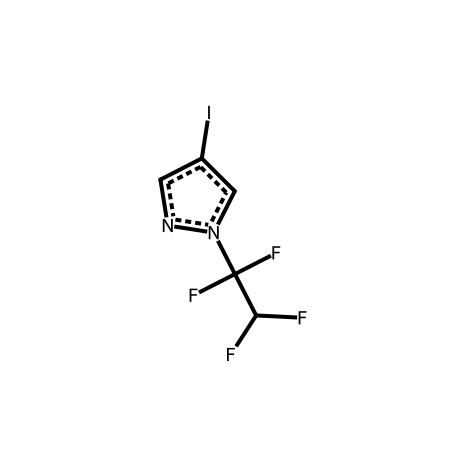 FC(F)C(F)(F)n1cc(I)cn1